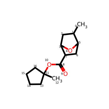 CC1CC2OC1CC2C(=O)OC1(C)CCCC1